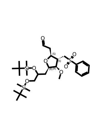 CO[C@@H]1[C@@H](CS(=O)(=O)c2ccccc2)[C@H](CC=O)O[C@@H]1CC(CO[Si](C)(C)C(C)(C)C)O[Si](C)(C)C(C)(C)C